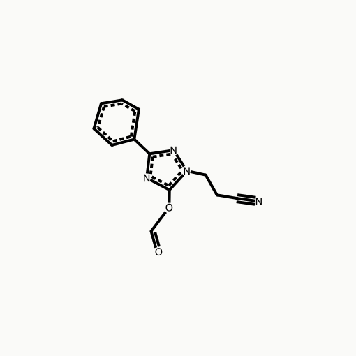 N#CCCn1nc(-c2ccccc2)nc1OC=O